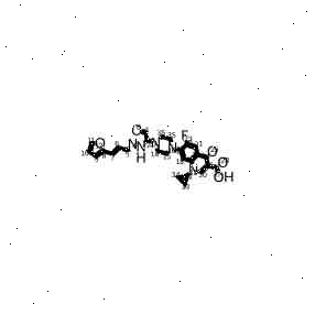 O=CC(NN=C/C=C/c1ccco1)N1CCN(c2cc3c(cc2F)c(=O)c(C(=O)O)cn3C2CC2)CC1